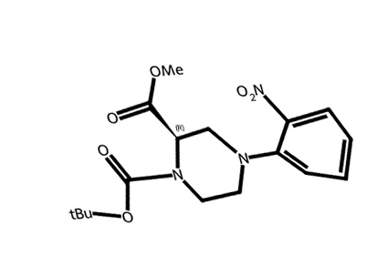 COC(=O)[C@H]1CN(c2ccccc2[N+](=O)[O-])CCN1C(=O)OC(C)(C)C